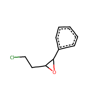 ClCCC1OC1c1ccccc1